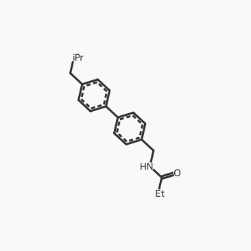 CCC(=O)NCc1ccc(-c2ccc(CC(C)C)cc2)cc1